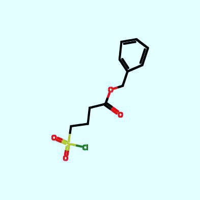 O=C(CCCS(=O)(=O)Cl)OCc1ccccc1